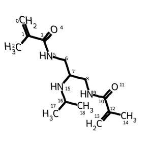 C=C(C)C(=O)NCC(CNC(=O)C(=C)C)NC(C)C